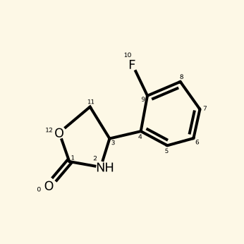 O=C1NC(c2ccccc2F)CO1